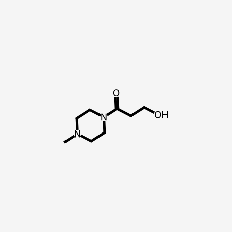 CN1CCN(C(=O)CCO)CC1